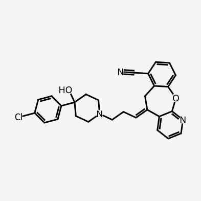 N#Cc1cccc2c1CC(=CCCN1CCC(O)(c3ccc(Cl)cc3)CC1)c1cccnc1O2